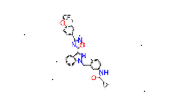 O=C(Nc1cccc(Cn2nc(-c3nc(-c4ccc(OC(F)(F)F)cc4)no3)c3ccccc32)c1)C1CC1